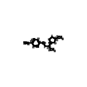 C[C@@H]1CCN([C@@H](C)COc2cnc(C#N)cn2)C1